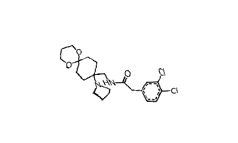 O=C(Cc1ccc(Cl)c(Cl)c1)NCC1(N2CCC2)CCC2(CC1)OCCCO2